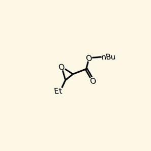 CCCCOC(=O)C1OC1CC